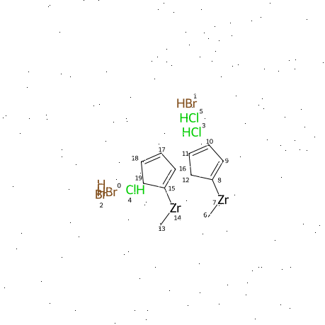 Br.Br.Br.Cl.Cl.Cl.[CH3][Zr][C]1=CC=CC1.[CH3][Zr][C]1=CC=CC1